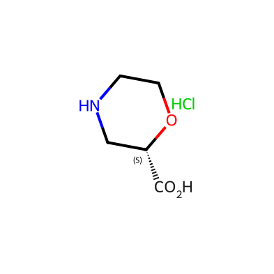 Cl.O=C(O)[C@@H]1CNCCO1